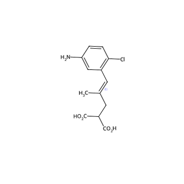 C/C(=C\c1cc(N)ccc1Cl)CC(C(=O)O)C(=O)O